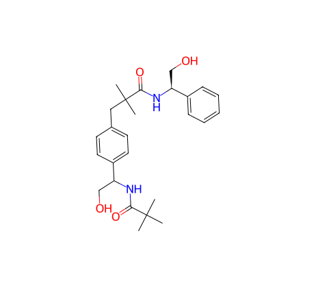 CC(C)(C)C(=O)NC(CO)c1ccc(CC(C)(C)C(=O)N[C@@H](CO)c2ccccc2)cc1